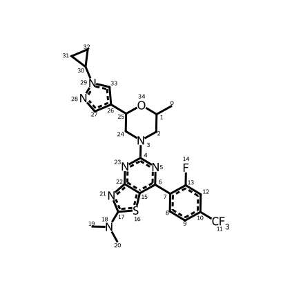 CC1CN(c2nc(-c3ccc(C(F)(F)F)cc3F)c3sc(N(C)C)nc3n2)CC(c2cnn(C3CC3)c2)O1